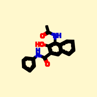 CC(=O)Nc1c(O)c(C(=O)Nc2ccccc2)cc2ccccc12